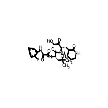 CC(C)(C)C[C@H](NC(=O)C(=O)Nc1ccccc1F)C(=O)N[C@@H](CC1CCCNC1=O)C(=O)CO